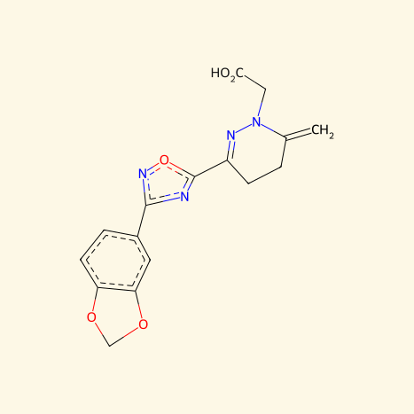 C=C1CCC(c2nc(-c3ccc4c(c3)OCO4)no2)=NN1CC(=O)O